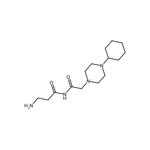 NCCC(=O)NC(=O)CN1CCN(C2CCCCC2)CC1